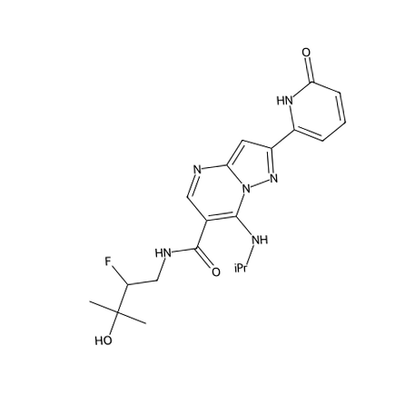 CC(C)Nc1c(C(=O)NCC(F)C(C)(C)O)cnc2cc(-c3cccc(=O)[nH]3)nn12